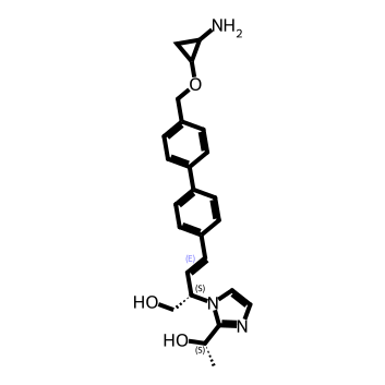 C[C@H](O)c1nccn1[C@@H](/C=C/c1ccc(-c2ccc(COC3CC3N)cc2)cc1)CO